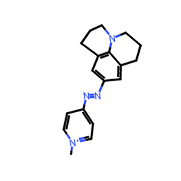 C[n+]1ccc(N=Nc2cc3c4c(c2)CCCN4CCC3)cc1